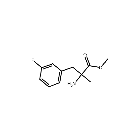 COC(=O)C(C)(N)Cc1cccc(F)c1